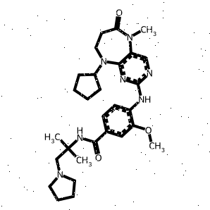 COc1cc(C(=O)NC(C)(C)CN2CCCC2)ccc1Nc1ncc2c(n1)N(C1CCCC1)CCC(=O)N2C